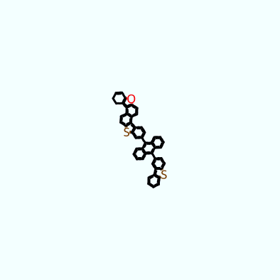 C1=Cc2oc3ccc4c(ccc5sc6cc(-c7c8ccccc8c(-c8ccc9sc%10ccccc%10c9c8)c8ccccc78)ccc6c54)c3c2CC1